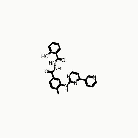 Cc1ccc(C(=O)NNC(=O)c2ccccc2O)cc1Nc1nccc(-c2cccnc2)n1